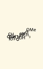 COc1cccc(CN(C)c2cccc(C(O)N3CCc4cc(C(=O)Nc5c(C)cccc5F)sc4-c4ccccc43)n2)c1